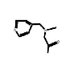 CC(=O)CN(C)Cc1ccncc1